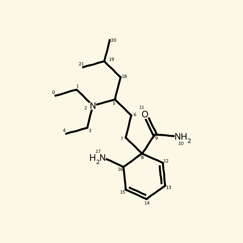 CCN(CC)C(CCC1(C(N)=O)C=CC=CC1N)CC(C)C